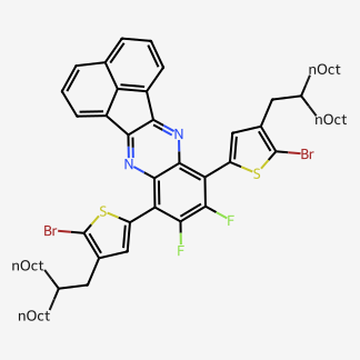 CCCCCCCCC(CCCCCCCC)Cc1cc(-c2c(F)c(F)c(-c3cc(CC(CCCCCCCC)CCCCCCCC)c(Br)s3)c3nc4c(nc23)-c2cccc3cccc-4c23)sc1Br